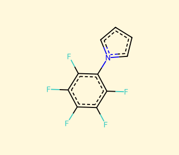 Fc1c(F)c(F)c(-n2cccc2)c(F)c1F